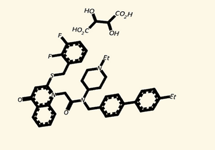 CCc1ccc(-c2ccc(CN(C(=O)Cn3c(SCc4cccc(F)c4F)cc(=O)c4ccccc43)C3CCN(CC)CC3)cc2)cc1.O=C(O)C(O)C(O)C(=O)O